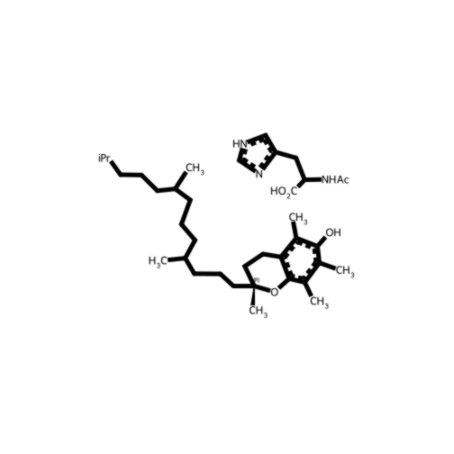 CC(=O)NC(Cc1c[nH]cn1)C(=O)O.Cc1c(C)c2c(c(C)c1O)CC[C@@](C)(CCCC(C)CCCC(C)CCCC(C)C)O2